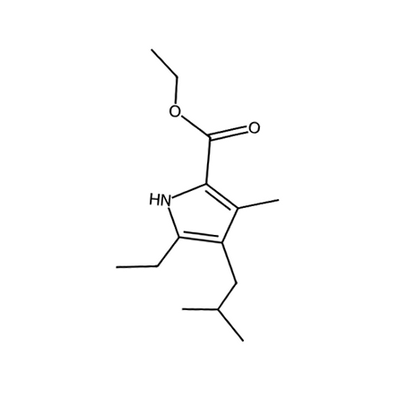 CCOC(=O)c1[nH]c(CC)c(CC(C)C)c1C